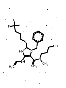 C=CBC1=C(C(=C)N(C)CCCO)N(Cc2ccccc2)C(OCCCC(F)(F)F)N1